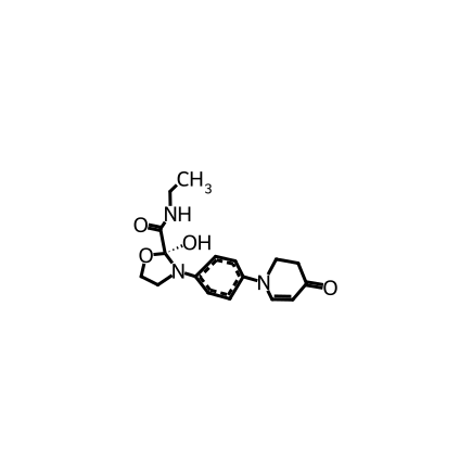 CCNC(=O)[C@]1(O)OCCN1c1ccc(N2C=CC(=O)CC2)cc1